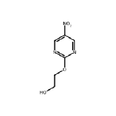 O=[N+]([O-])c1cnc(OCCO)nc1